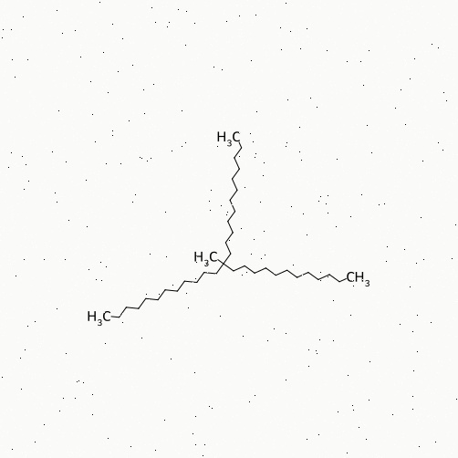 CCCCCCCCCCCCC(C)(CCCCCCCCCCCC)CCCCCCCCCCCC